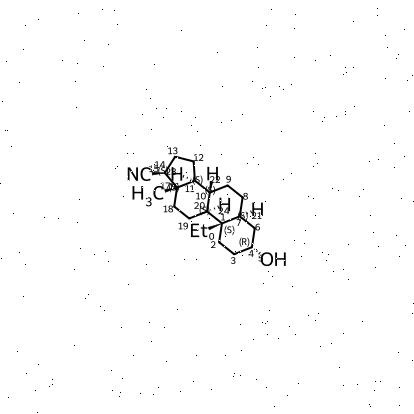 CC[C@]12CC[C@@H](O)C[C@@H]1CC[C@H]1[C@@H]3CC[C@H](C#N)[C@@]3(C)CC[C@@H]12